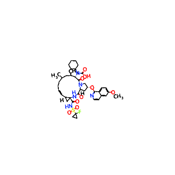 COc1ccc2c(O[C@@H]3C[C@H]4C(=O)N[C@]5(C(=O)NS(=O)(=O)C6(F)CC6)C[C@H]5C=CCC[C@@H](C)C[C@@H](C)[C@H](N(C(=O)O)C5CCCCC5)C(=O)N4C3)nccc2c1